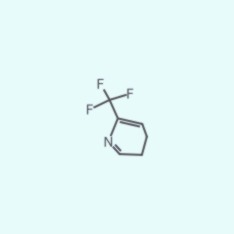 FC(F)(F)C1=CCCC=N1